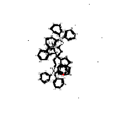 [Cl][Zr]([Cl])[CH](CC(CCO[Si](c1ccccc1)(c1ccccc1)c1ccccc1)(C1C=Cc2ccccc21)C1C=Cc2ccccc21)O[Si](c1ccccc1)(c1ccccc1)c1ccccc1